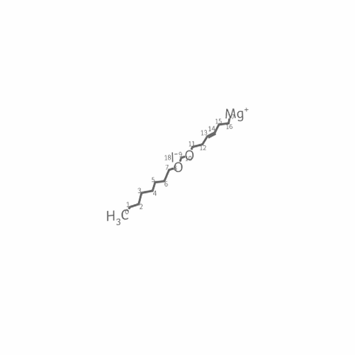 CCCCCCCCOCOCC/C=C/C[CH2][Mg+].[I-]